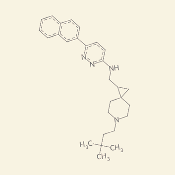 CC(C)(C)CCN1CCC2(CC1)CC2CNc1ccc(-c2ccc3ccccc3c2)nn1